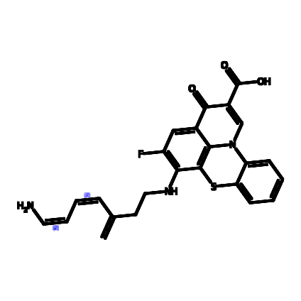 C=C(/C=C\C=C/N)CCNc1c(F)cc2c(=O)c(C(=O)O)cn3c2c1Sc1ccccc1-3